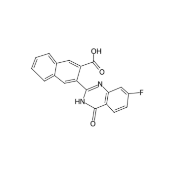 O=C(O)c1cc2ccccc2cc1-c1nc2cc(F)ccc2c(=O)[nH]1